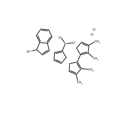 CC1=CCC(C2=C(C)C(C)=CC2)=C1C.[Cl-].[Cl-].[Cl][Zr]([Cl])[C]1=CC=CC1.[Zr+2][CH]1C=Cc2ccccc21